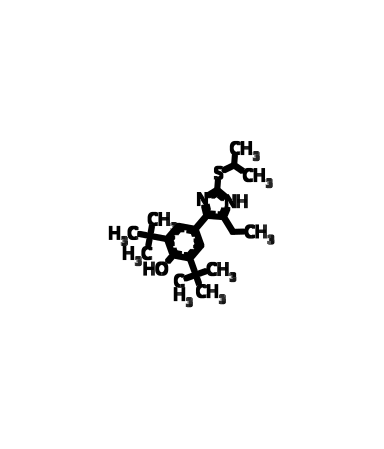 CCc1[nH]c(SC(C)C)nc1-c1cc(C(C)(C)C)c(O)c(C(C)(C)C)c1